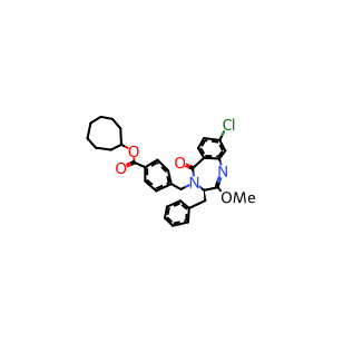 COC1=Nc2cc(Cl)ccc2C(=O)N(Cc2ccc(C(=O)OC3CCCCCCC3)cc2)[C@@H]1Cc1ccccc1